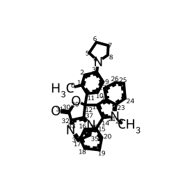 Cc1cc(N2CCCC2)ccc1C1(c2c(-c3ccccc3)n(C)c3ccccc23)OC(=O)c2nccnc21